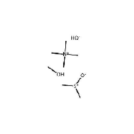 CO.C[N+](C)(C)C.C[S+](C)[O-].[OH-]